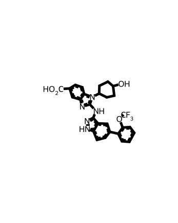 O=C(O)c1ccc2c(c1)nc(Nc1n[nH]c3ccc(-c4ccccc4OC(F)(F)F)cc13)n2C1CCC(O)CC1